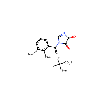 C=C(c1cccc(OC)c1OC)N1C=NC(=O)C1=O.CCCCCCC(C)(CC)C(=O)O